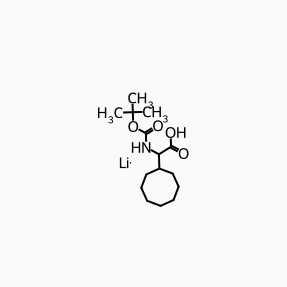 CC(C)(C)OC(=O)NC(C(=O)O)C1CCCCCCC1.[Li]